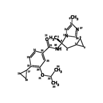 Cc1cn([C@](C)(CC2CC2)NC(=O)c2ccc(C3CC3)c(OC(C)C)c2)cn1